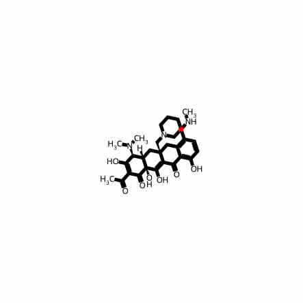 CNCc1ccc(O)c2c1C[C@@]1(CN3CCCCC3)C[C@H]3[C@H](N(C)C)C(O)=C(C(C)=O)C(=O)[C@@]3(O)C(O)=C1C2=O